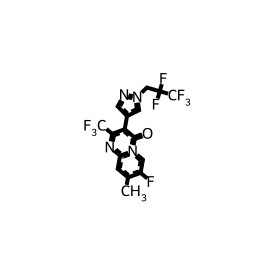 Cc1cc2nc(C(F)(F)F)c(-c3cnn(CC(F)(F)C(F)(F)F)c3)c(=O)n2cc1F